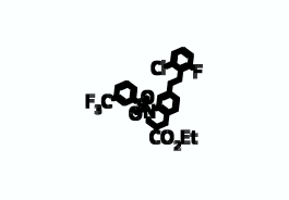 CCOC(=O)C1Cc2ccc(CCc3c(F)cccc3Cl)cc2N(S(=O)(=O)c2cccc(C(F)(F)F)c2)C1